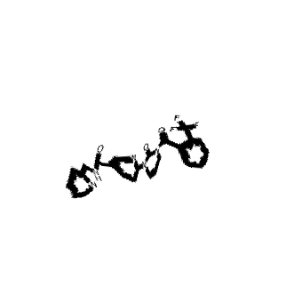 O=C(NCc1ccccn1)c1ccc(N2C=CCN(C(=O)c3ccccc3C(F)(F)F)C2=O)nc1